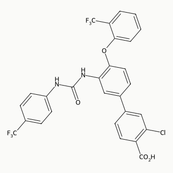 O=C(Nc1ccc(C(F)(F)F)cc1)Nc1cc(-c2ccc(C(=O)O)c(Cl)c2)ccc1Oc1ccccc1C(F)(F)F